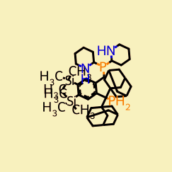 C[Si](C)(C)c1cc(CP(C2CCCCN2)C2CCCCN2)c(C(P)(C23CC4CC(CC(C4)C2)C3)C23CC4CC(CC(C4)C2)C3)cc1[Si](C)(C)C